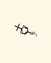 CC(C)(C)c1ncc(N)cn1